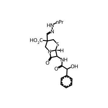 CCCNN=CC1(C(=O)O)CS[C@@H]2C(NC(=O)C(O)c3ccccc3)C(=O)N2C1